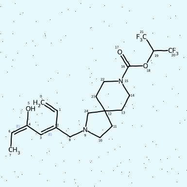 C=C/C(=C\C(O)=C/C)CN1CCC2(CCN(C(=O)OC(C(F)(F)F)C(F)(F)F)CC2)C1